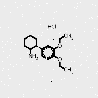 CCOc1ccc([C@@H]2CCCC[C@@H]2N)cc1OCC.Cl